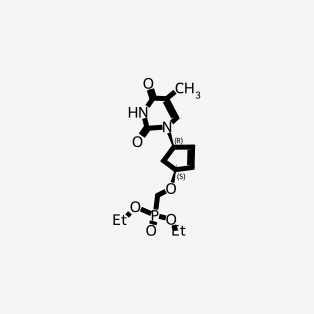 CCOP(=O)(CO[C@@H]1C=C[C@H](n2cc(C)c(=O)[nH]c2=O)C1)OCC